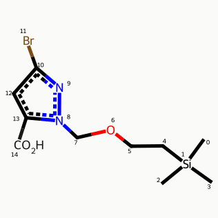 C[Si](C)(C)CCOCn1nc(Br)cc1C(=O)O